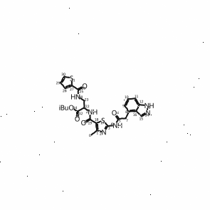 Cc1nc(NC(=O)Cc2cccc3[nH]ncc23)sc1C(=O)NC(CNC(=O)c1cccs1)C(=O)OCC(C)C